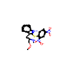 CNC(COC)Cc1c(Sc2ccc([N+](=O)[O-])cc2[N+](=O)[O-])[nH]c2ccccc12